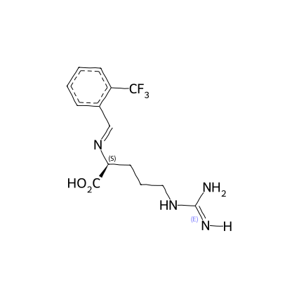 [H]/N=C(\N)NCCC[C@H](N=Cc1ccccc1C(F)(F)F)C(=O)O